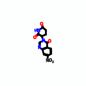 O=C1CCC(n2cnc3cc([N+](=O)[O-])ccc3c2=O)C(=O)N1